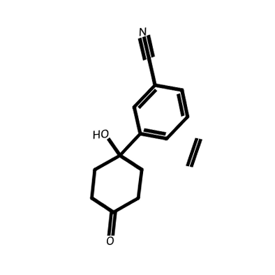 C=C.N#Cc1cccc(C2(O)CCC(=O)CC2)c1